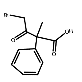 CC(C(=O)O)(C(=O)CBr)c1ccccc1